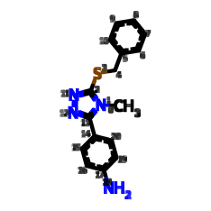 Cn1c(SCc2ccccc2)nnc1-c1ccc(N)cc1